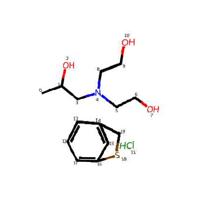 CC(O)CN(CCO)CCO.Cl.c1cc2cc(c1)SC2